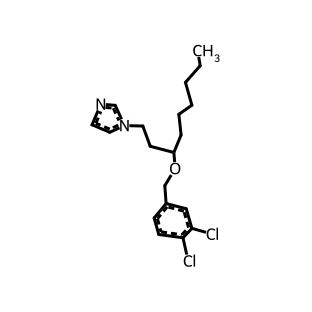 CCCCCCC(CCn1ccnc1)OCc1ccc(Cl)c(Cl)c1